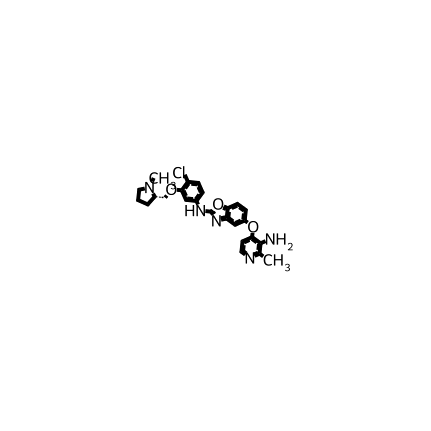 Cc1nccc(Oc2ccc3oc(Nc4ccc(Cl)c(OC[C@@H]5CCCN5C)c4)nc3c2)c1N